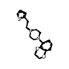 c1csc(CCN2CCN(c3cccc4c3OCCO4)CC2)c1